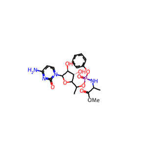 COC(=O)C(C)NP(=O)(Oc1ccccc1)OC(C)C1OC(n2ccc(N)nc2=O)[C@@H](O)[C@@H]1O